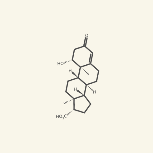 C[C@]12CC[C@H]3[C@@H](CCC4=CC(=O)C[C@@H](O)[C@@]43C)[C@@H]1CC[C@@H]2C(=O)O